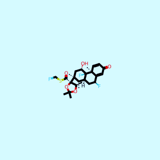 C[C@H]1[C@@H]2C[C@H](F)C3=CC(=O)C=C[C@]3(C)[C@@]2(F)[C@@H](O)C[C@]1(C)[C@]1(C(=O)SCF)OC(C)(C)O[C@@H]1C